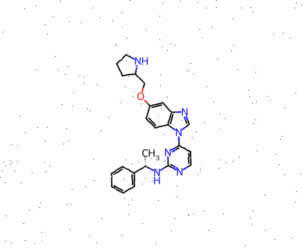 C[C@H](Nc1nccc(-n2cnc3cc(OCC4CCCN4)ccc32)n1)c1ccccc1